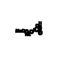 COc1ccc(C2(C#N)CC=C(N3CCC4(CC3)C(=O)NCN4c3ccccc3)CC2)cc1